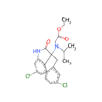 CCOC(=O)CN(C(C)C)C1(Cc2cccc(Cl)c2)C(=O)Nc2cc(Cl)ccc21